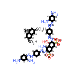 Nc1ccc(N=Nc2ccc(N=Nc3c(S(=O)(=O)[O-])cc4cc(S(=O)(=O)[O-])c(N=Nc5ccc(N=Nc6ccc(N)cc6N)cc5)c(O)c4c3N)cc2)c(N)c1.O=S(=O)(O)c1ccc2ccc(S(=O)(=O)O)cc2c1.[Na+].[Na+]